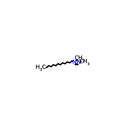 CCCCCCCCCCCCCN1C=CN(C)C1C